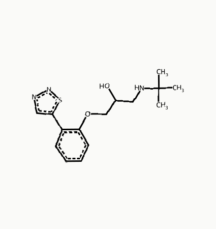 CC(C)(C)NCC(O)COc1ccccc1-c1cnns1